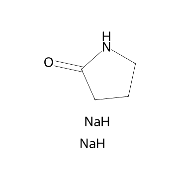 O=C1CCCN1.[NaH].[NaH]